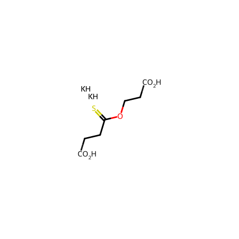 O=C(O)CCOC(=S)CCC(=O)O.[KH].[KH]